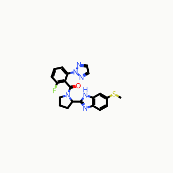 CSc1ccc2nc(C3CCCN3C(=O)c3c(F)cccc3-n3nccn3)[nH]c2c1